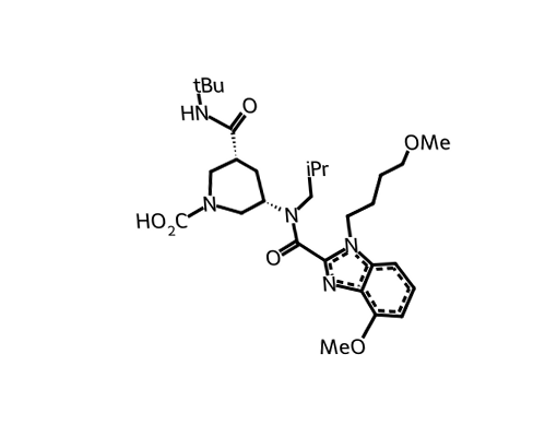 COCCCCn1c(C(=O)N(CC(C)C)[C@H]2C[C@@H](C(=O)NC(C)(C)C)CN(C(=O)O)C2)nc2c(OC)cccc21